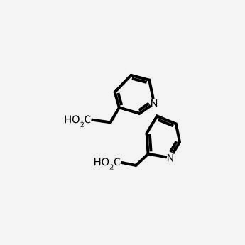 O=C(O)Cc1ccccn1.O=C(O)Cc1cccnc1